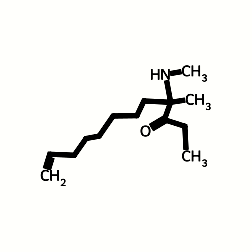 C=CCCCCCCC(C)(NC)C(=O)CC